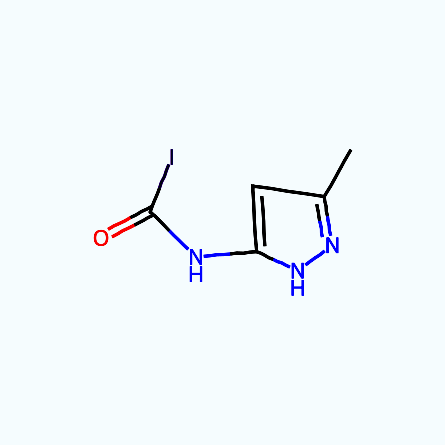 Cc1cc(NC(=O)I)[nH]n1